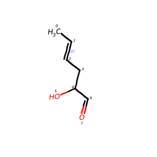 C/C=C/CC(O)C=O